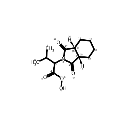 CC(C)C(C(=O)OO)N1C(=O)[C@H]2CCCC[C@H]2C1=O